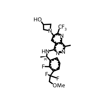 COCC(F)(F)c1cccc([C@@H](C)Nc2nnc(C)c3nc(C(F)(F)F)c(N4CC(O)C4)cc23)c1F